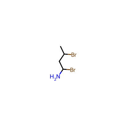 CC(Br)CC(N)Br